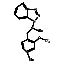 CC(C)(C)c1ccc(CN(n2nnc3ccccc32)C(C)(C)C)c(OC(F)(F)F)c1